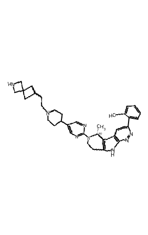 C[C@@H]1c2c([nH]c3nnc(-c4ccccc4O)cc23)CCN1c1ncc(C2CCN(CCC3CC4(CNC4)C3)CC2)cn1